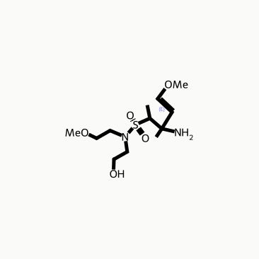 CO/C=C/C(C)(N)C(C)S(=O)(=O)N(CCO)CCOC